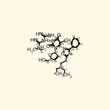 CCN(CC)CCc1nc(-c2ccccc2)no1.CN(C)C(=N)NC(=N)N.Cc1cn([C@H]2C=C[C@@H](CO)O2)c(=O)[nH]c1=O